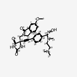 COc1ccc2c(c1)C(=O)N(C[C@@]1(C#Cc3ccc(C(=NO)N(C)CCN(C)C)cc3)NC(=O)NC1=O)C2